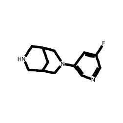 Fc1cncc(N2CC3CNCC(C3)C2)c1